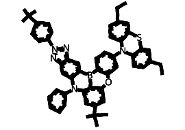 CCc1ccc2c(c1)Sc1cc(CC)ccc1N2c1ccc2c(c1)Oc1cc(C(C)(C)C)cc3c1B2c1cc2nn(-c4ccc(C(C)(C)C)cc4)nc2cc1N3c1ccccc1